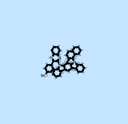 N#Cc1ccc(-c2nc3ccccc3nc2-n2c3ccccc3c3cc4c5ccccc5n5c6c7ccccc7ccc6c(c32)c45)cc1